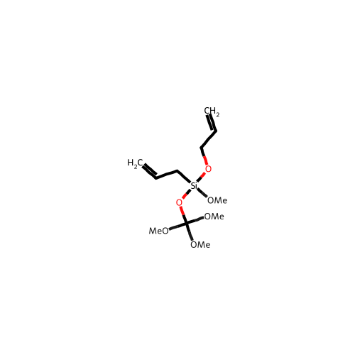 C=CCO[Si](CC=C)(OC)OC(OC)(OC)OC